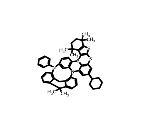 CC1(C)CCC(C)(C)c2c1sc1c2B2c3ccc4cc3N(c3cccc5c3Cc3c(cccc3C5(C)C)N4c3ccccc3)c3cc(C4CCCCC4)cc(c32)S1